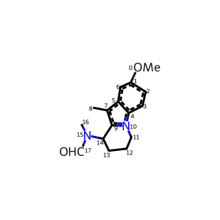 COc1ccc2c(c1)c(C)c1n2CCCC1N(C)C=O